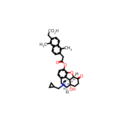 Cc1c(CC(=O)O)ccc2c(C)c(CC(=O)Oc3ccc4c5c3O[C@H]3C(=O)CC[C@@]6(O)[C@@H](C4)N(CC4CC4)C=C[C@]536)ccc12